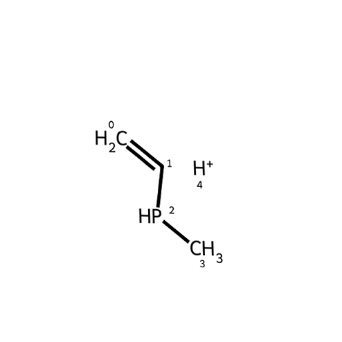 C=CPC.[H+]